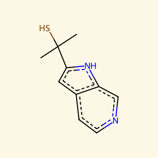 CC(C)(S)c1cc2ccncc2[nH]1